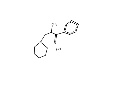 CC(CN1CCCCC1)C(=O)c1ccccc1.Cl